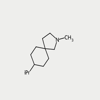 CC(C)C1CCC2(CC1)CCN(C)C2